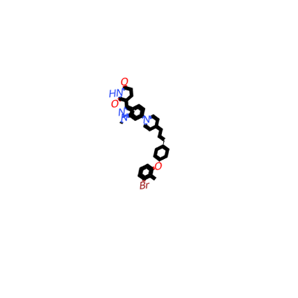 Cc1c(Br)cccc1O[C@H]1CC[C@@H](CCCC2CCN(c3ccc4c(C5CCC(=O)NC5=O)nn(C)c4c3)CC2)CC1